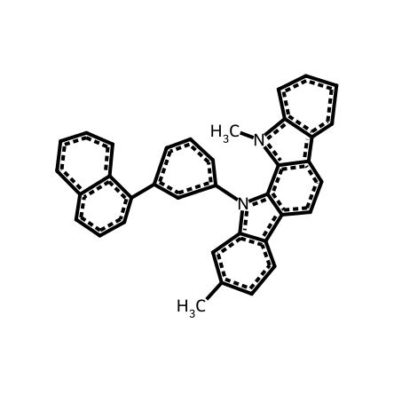 Cc1ccc2c3ccc4c5ccccc5n(C)c4c3n(-c3cccc(-c4cccc5ccccc45)c3)c2c1